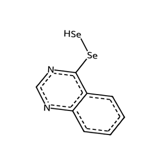 [SeH][Se]c1ncnc2ccccc12